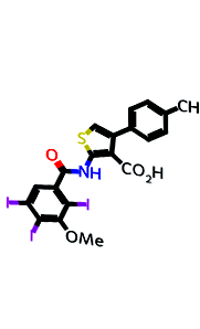 COc1c(I)c(I)cc(C(=O)Nc2scc(-c3ccc(C)cc3)c2C(=O)O)c1I